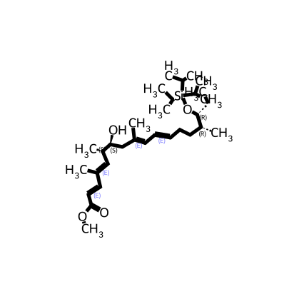 CC[C@@H](O[Si](C(C)C)(C(C)C)C(C)C)[C@H](C)CC/C=C/C=C(\C)C[C@H](O)[C@@H](C)/C=C(C)/C=C/C(=O)OC